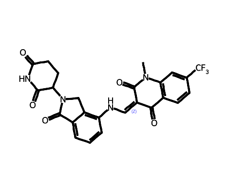 CN1C(=O)/C(=C\Nc2cccc3c2CN(C2CCC(=O)NC2=O)C3=O)C(=O)c2ccc(C(F)(F)F)cc21